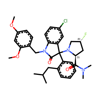 COc1ccc(CN2C(=O)C(c3ccccc3CC(C)C)(N3C[C@H](F)C[C@H]3C(=O)N(C)C)c3cc(Cl)ccc32)c(OC)c1